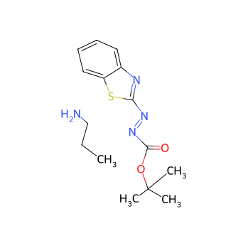 CC(C)(C)OC(=O)N=Nc1nc2ccccc2s1.CCCN